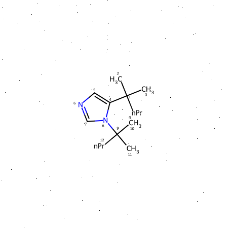 CCCC(C)(C)c1cncn1C(C)(C)CCC